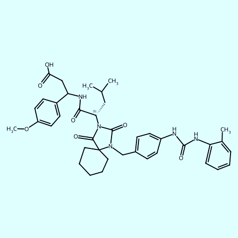 COc1ccc(C(CC(=O)O)NC(=O)[C@H](CC(C)C)N2C(=O)N(Cc3ccc(NC(=O)Nc4ccccc4C)cc3)C3(CCCCC3)C2=O)cc1